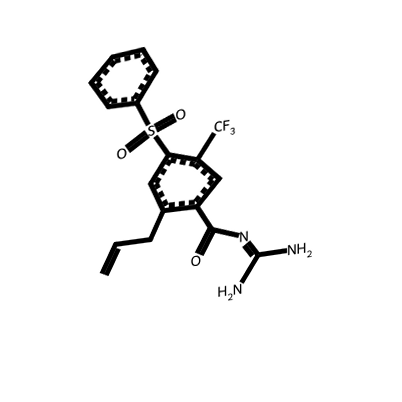 C=CCc1cc(S(=O)(=O)c2ccccc2)c(C(F)(F)F)cc1C(=O)N=C(N)N